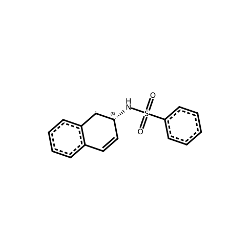 O=S(=O)(N[C@H]1[CH]c2ccccc2C=C1)c1ccccc1